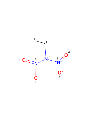 CCN([N+](=O)[O-])[N+](=O)[O-]